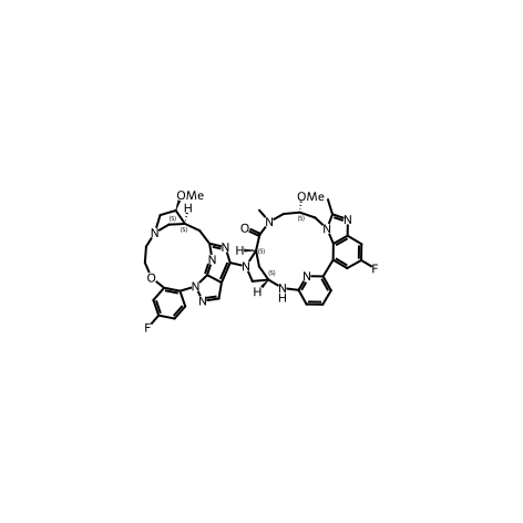 CO[C@H]1CN(C)C(=O)[C@@H]2C[C@@H](CN2c2nc3nc4c2cnn4-c2ccc(F)cc2OCCN2C[C@H](C3)[C@H](OC)C2)Nc2cccc(n2)-c2cc(F)cc3nc(C)n(c23)C1